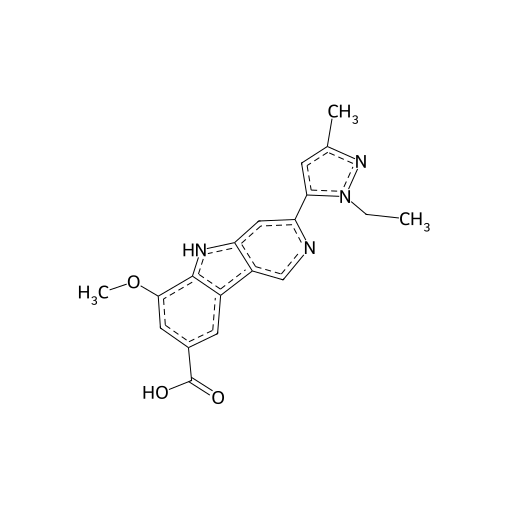 CCn1nc(C)cc1-c1cc2[nH]c3c(OC)cc(C(=O)O)cc3c2cn1